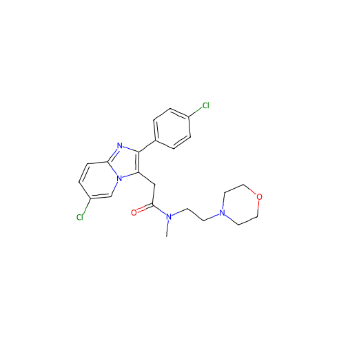 CN(CCN1CCOCC1)C(=O)Cc1c(-c2ccc(Cl)cc2)nc2ccc(Cl)cn12